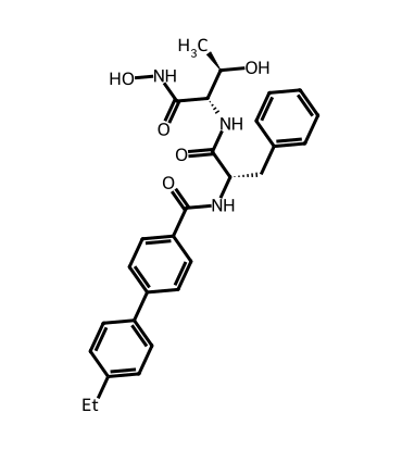 CCc1ccc(-c2ccc(C(=O)N[C@@H](Cc3ccccc3)C(=O)N[C@H](C(=O)NO)[C@@H](C)O)cc2)cc1